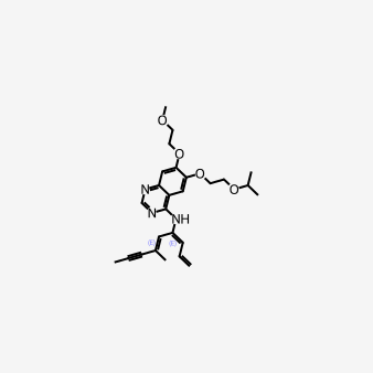 C=C/C=C(\C=C(/C)C#CC)Nc1ncnc2cc(OCCOC)c(OCCOC(C)C)cc12